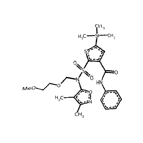 COCCOCN(c1onc(C)c1C)S(=O)(=O)c1sc([Si](C)(C)C)cc1C(=O)Nc1ccccc1